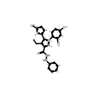 CCc1c(C(=O)NNc2ccccc2)nn(-c2ccc(Cl)cc2Cl)c1-c1ccc(Cl)s1